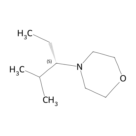 CC[C@@H](C(C)C)N1CCOCC1